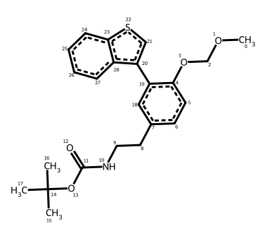 COCOc1ccc(CCNC(=O)OC(C)(C)C)cc1-c1csc2ccccc12